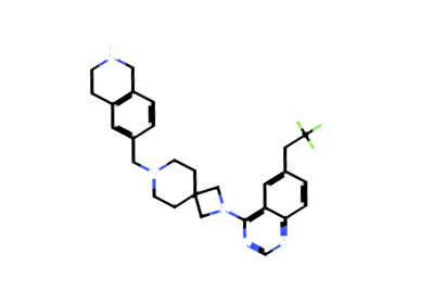 FC(F)(F)Cc1ccc2ncnc(N3CC4(CCN(Cc5ccc6c(c5)CCNC6)CC4)C3)c2c1